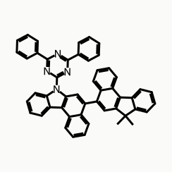 CC1(C)c2ccccc2-c2c1cc(-c1cc3c(c4ccccc14)c1ccccc1n3-c1nc(-c3ccccc3)nc(-c3ccccc3)n1)c1ccccc21